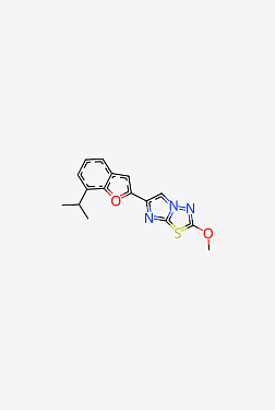 COc1nn2cc(-c3cc4cccc(C(C)C)c4o3)nc2s1